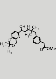 COC(=O)Cc1cccc(CC(C)(C)NCC(O)c2ccc3c(n2)COC(C)(C)O3)c1